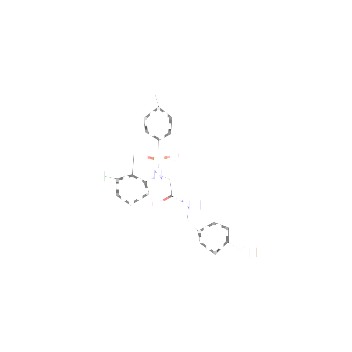 Cc1ccc(S(=O)(=O)N(CC(=O)NCc2ccc(S)cc2)c2cccc(Cl)c2C)cc1